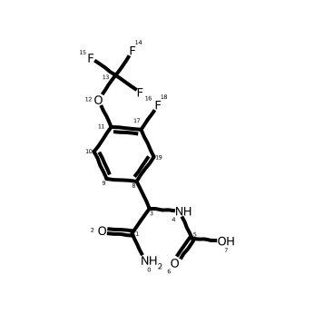 NC(=O)C(NC(=O)O)c1ccc(OC(F)(F)F)c(F)c1